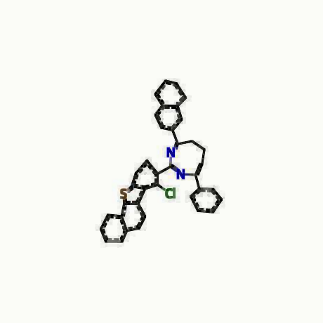 Clc1c(C2=N/C(c3ccccc3)=C\CC/C(c3ccc4ccccc4c3)=N\2)ccc2sc3c4ccccc4ccc3c12